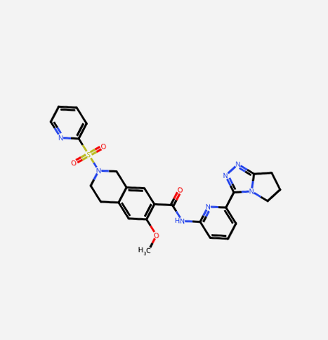 COc1cc2c(cc1C(=O)Nc1cccc(-c3nnc4n3CCC4)n1)CN(S(=O)(=O)c1ccccn1)CC2